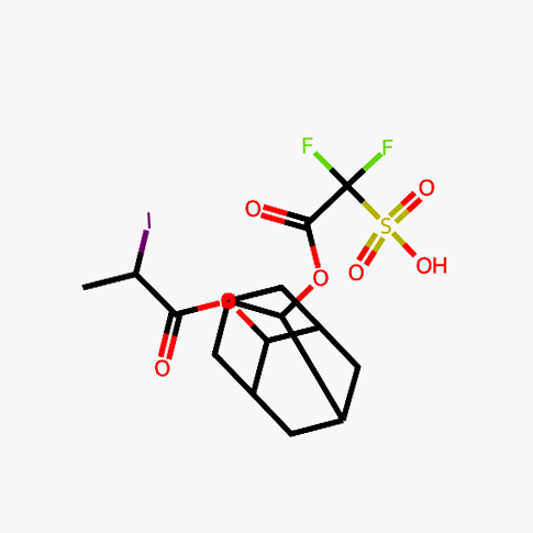 CC(I)C(=O)OC1C2CC3CC1CC(C2)C3OC(=O)C(F)(F)S(=O)(=O)O